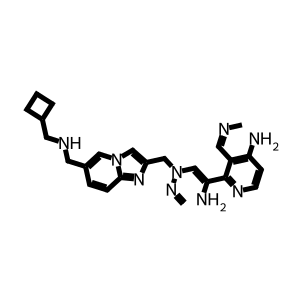 C=NN(/C=C(\N)c1nccc(N)c1/C=N\C)Cc1cn2cc(CNCC3CCC3)ccc2n1